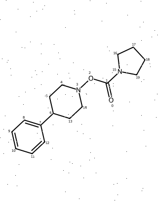 O=C(ON1CCC(c2ccccc2)CC1)N1CCCC1